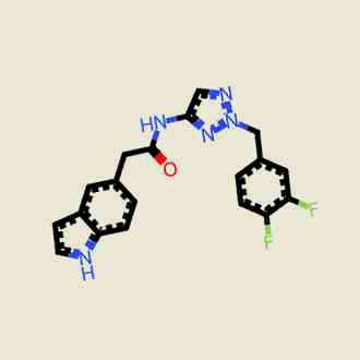 O=C(Cc1ccc2[nH]ccc2c1)Nc1cnn(Cc2ccc(F)c(F)c2)n1